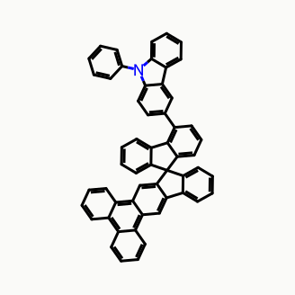 c1ccc(-n2c3ccccc3c3cc(-c4cccc5c4-c4ccccc4C54c5ccccc5-c5cc6c7ccccc7c7ccccc7c6cc54)ccc32)cc1